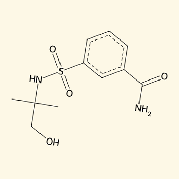 CC(C)(CO)NS(=O)(=O)c1cccc(C(N)=O)c1